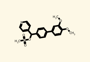 COc1ccc(-c2ccc(C(OS(C)(=O)=O)c3ccncc3)cc2)cc1OC